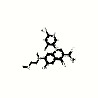 COCCN(C)c1cc2c(cc1Cl)c(=O)c(C(=O)O)cn2-c1cnc(N)cc1C